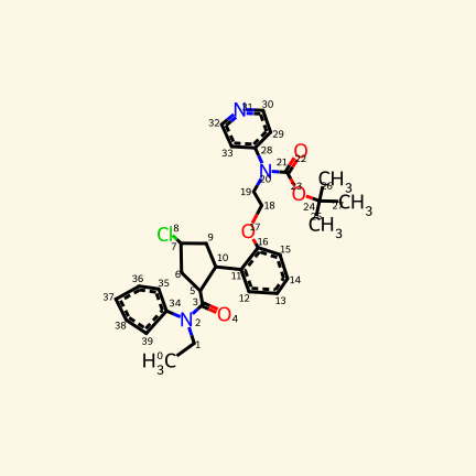 CCN(C(=O)C1CC(Cl)CC1c1ccccc1OCCN(C(=O)OC(C)(C)C)c1ccncc1)c1ccccc1